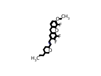 CCCC1CCC(/C=C/c2cc3c(c(F)c2F)Oc2c(ccc(OCC)c2F)C3)OC1